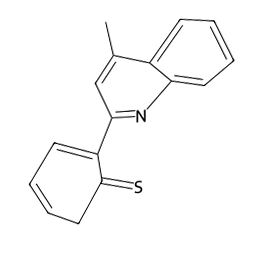 Cc1cc(C2=CC=CCC2=S)nc2ccccc12